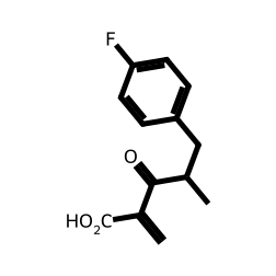 C=C(C(=O)O)C(=O)C(C)Cc1ccc(F)cc1